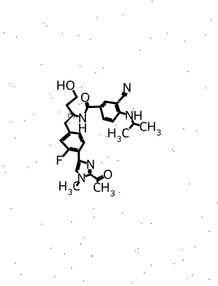 CC(=O)c1nc(-c2ccc(C[C@@H](CCO)NC(=O)c3ccc(NC(C)C)c(C#N)c3)cc2F)cn1C